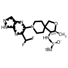 C[C@@H]1OCC2(CCN(c3nc4cn[nH]c4nc3C(F)F)CC2)[C@@H]1N[S+]([O-])C(C)(C)C